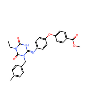 CCn1c(=O)[nH]/c(=N\c2ccc(Oc3ccc(C(=O)OC)cc3)cc2)n(Cc2ccc(C)cc2)c1=O